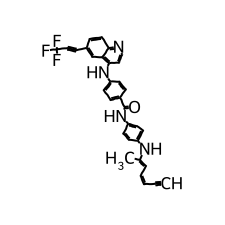 C#C/C=C\C=C(/C)Nc1ccc(NC(=O)c2ccc(Nc3ccnc4ccc(C#CC(F)(F)F)cc34)cc2)cc1